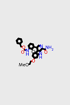 COCCOc1ccc2c(c1)[nH]c1c(C(N)=O)ncc(-c3cccc(NC(=O)OCc4ccccc4)c3C)c12